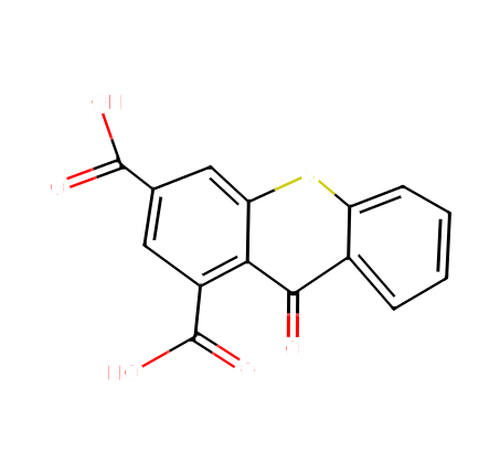 O=C(O)c1cc(C(=O)O)c2c(=O)c3ccccc3sc2c1